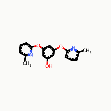 Cc1cccc(Oc2cc(O)cc(Oc3cccc(C)n3)c2)n1